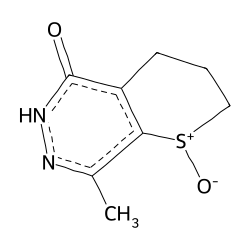 Cc1n[nH]c(=O)c2c1[S+]([O-])CCC2